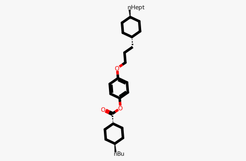 CCCCCCC[C@H]1CC[C@H](CCCOc2ccc(OC(=O)[C@H]3CC[C@H](CCCC)CC3)cc2)CC1